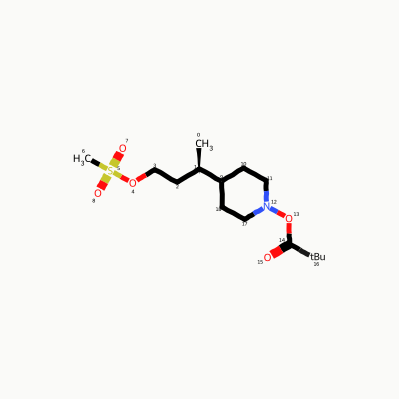 C[C@H](CCOS(C)(=O)=O)C1CCN(OC(=O)C(C)(C)C)CC1